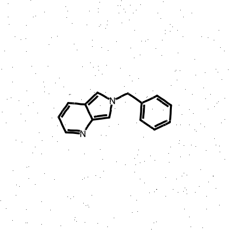 c1ccc(Cn2cc3cccnc3c2)cc1